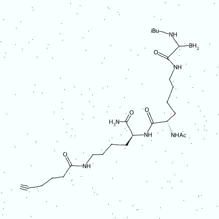 BC(NC(C)CC)C(=O)NCCCC[C@H](NC(C)=O)C(=O)N[C@@H](CCCCNC(=O)CCCC#C)C(N)=O